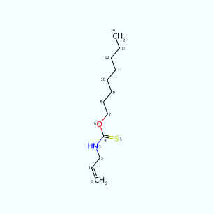 C=CCNC(=S)OCCCCCCCC